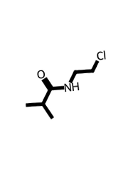 CC(C)C(=O)NCCCl